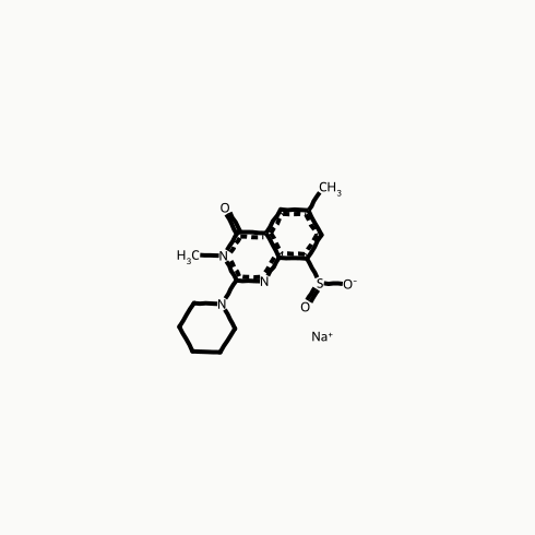 Cc1cc(S(=O)[O-])c2nc(N3CCCCC3)n(C)c(=O)c2c1.[Na+]